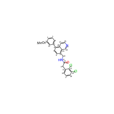 COc1cccc(-c2ccc(CNC(=O)Cc3cccc(Cl)c3Cl)c3cnccc23)c1